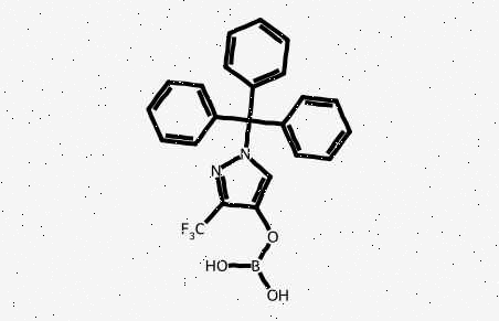 OB(O)Oc1cn(C(c2ccccc2)(c2ccccc2)c2ccccc2)nc1C(F)(F)F